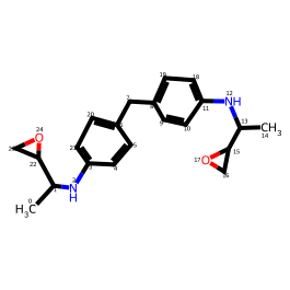 CC(Nc1ccc(Cc2ccc(NC(C)C3CO3)cc2)cc1)C1CO1